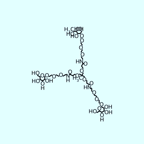 C[C@H](O)C(O)[C@H](O)C(CO)OCOCCOCCOCCNC(=O)CCOCC(C)(COCCC(=O)NCCOCCOCCO[C@H]1OC(CO)[C@@H](O)C(O)[C@H]1O)COCCC(=O)NCCOCCOCCO[C@H]1OC(CO)[C@@H](O)C(O)[C@H]1O